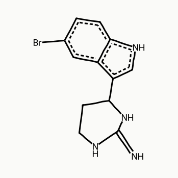 N=C1NCCC(c2c[nH]c3ccc(Br)cc23)N1